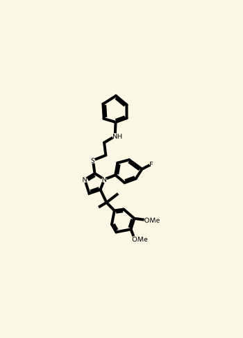 COc1ccc(C(C)(C)c2cnc(SCCNc3ccccc3)n2-c2ccc(F)cc2)cc1OC